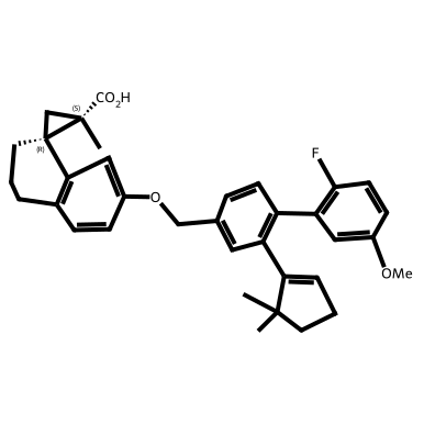 COc1ccc(F)c(-c2ccc(COc3ccc4c(c3)[C@@]3(CCC4)C[C@]3(C)C(=O)O)cc2C2=CCCC2(C)C)c1